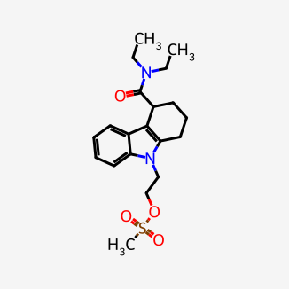 CCN(CC)C(=O)C1CCCc2c1c1ccccc1n2CCOS(C)(=O)=O